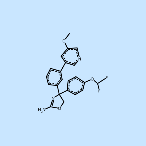 COc1cncc(-c2cccc(C3(c4ccc(OC(F)F)cc4)COC(N)=N3)c2)c1